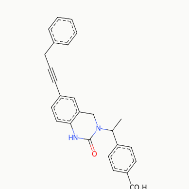 CC(c1ccc(C(=O)O)cc1)N1Cc2cc(C#CCc3ccccc3)ccc2NC1=O